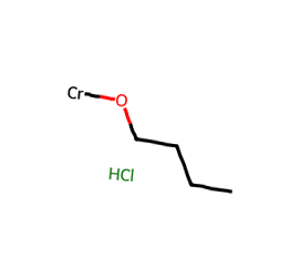 CCCC[O][Cr].Cl